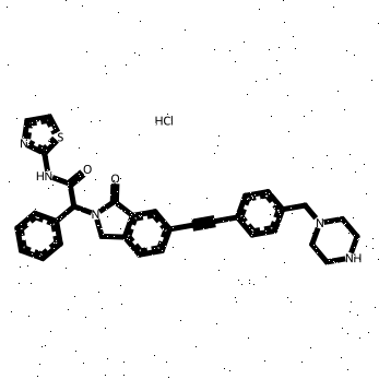 Cl.O=C(Nc1nccs1)C(c1ccccc1)N1Cc2ccc(C#Cc3ccc(CN4CCNCC4)cc3)cc2C1=O